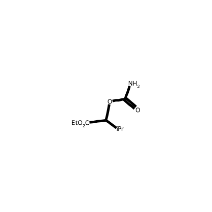 CCOC(=O)C(OC(N)=O)C(C)C